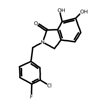 O=C1c2c(ccc(O)c2O)CN1Cc1ccc(F)c(Cl)c1